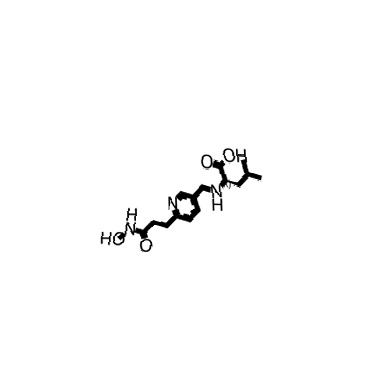 CC(C)C[C@@H](NCc1ccc(CCC(=O)NO)nc1)C(=O)O